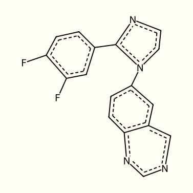 Fc1ccc(-c2nccn2-c2ccc3ncncc3c2)cc1F